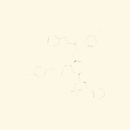 CS(=O)(=O)N[C@H](CCc1ccccc1)C(=O)N1C[C@H](OCc2ccc(Cl)cc2)C[C@H]1C(=O)N[C@@H](Cc1ccc(N)cc1)C(=O)c1nc2ccccc2o1